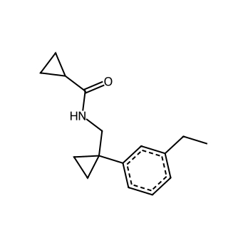 CCc1cccc(C2(CNC(=O)C3CC3)CC2)c1